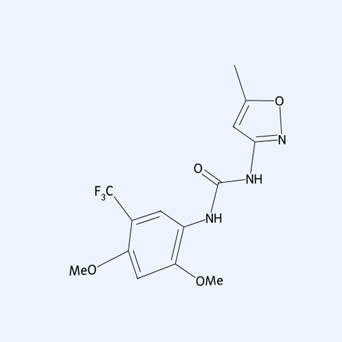 COc1cc(OC)c(C(F)(F)F)cc1NC(=O)Nc1cc(C)on1